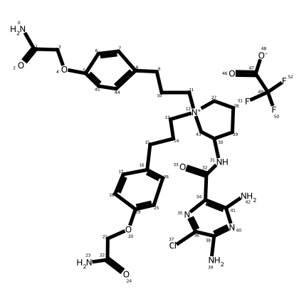 NC(=O)COc1ccc(CCC[N+]2(CCCc3ccc(OCC(N)=O)cc3)CCCC(NC(=O)c3nc(Cl)c(N)nc3N)C2)cc1.O=C([O-])C(F)(F)F